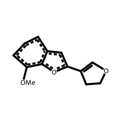 COc1cccc2cc(C3=COCC3)oc12